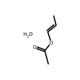 CC=COC(C)=O.O